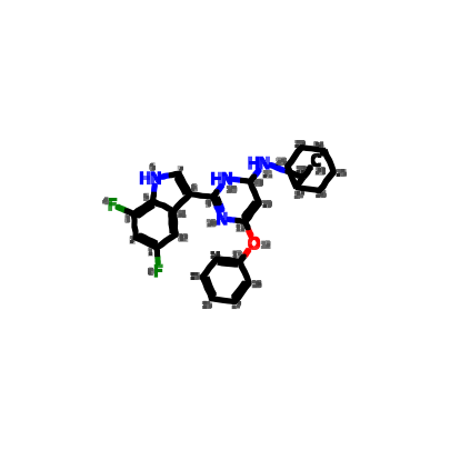 Fc1cc(F)c2[nH]cc(C3=NC(Oc4ccccc4)=CC(NC4CC5CCC4CC5)N3)c2c1